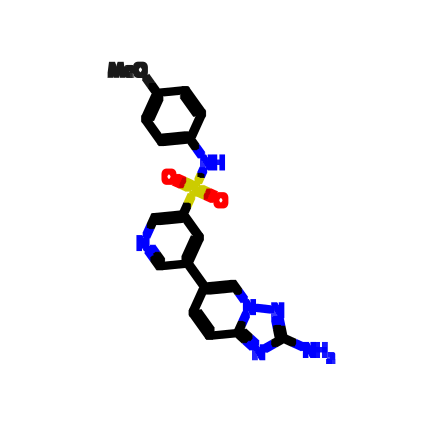 COc1ccc(NS(=O)(=O)c2cncc(-c3ccc4nc(N)nn4c3)c2)cc1